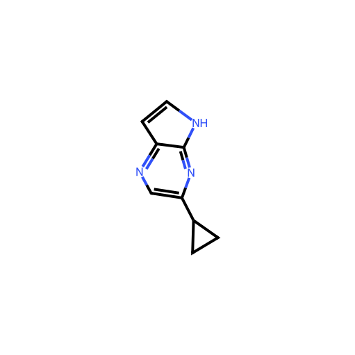 c1cc2ncc(C3CC3)nc2[nH]1